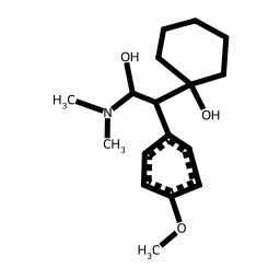 COc1ccc(C(C(O)N(C)C)C2(O)CCCCC2)cc1